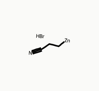 Br.N#CC[CH2][Zn]